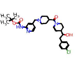 CC(C)(C)OC(=O)Nc1cc(CN2CCC(C(=O)N3CCC(C(O)Cc4ccc(Cl)cc4)CC3)CC2)ccn1